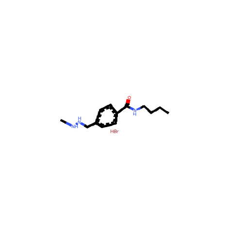 Br.CCCCNC(=O)c1ccc(CNNC)cc1